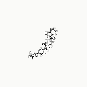 O=C1N(c2ccc(OCC(F)(F)F)cc2)CCC12CCN(S(=O)(=O)c1cccnc1Cl)CC2